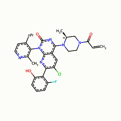 C=CC(=O)N1CCN(c2nc(=O)n(-c3c(CCC)ccnc3C)c3nc(-c4c(O)cccc4F)c(Cl)cc23)[C@@H](C)C1